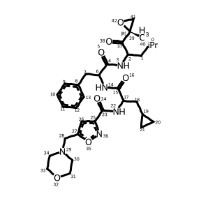 CC(C)CC(NC(=O)C(Cc1ccccc1)NC(=O)C(CC1CC1)NC(=O)c1cc(CN2CCOCC2)on1)C(=O)[C@@]1(C)CO1